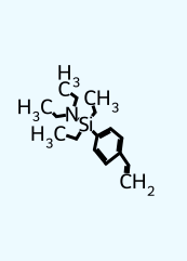 C=Cc1ccc([Si](CC)(CC)N(CC)CC)cc1